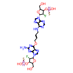 Nc1nc(OC/C=C/CNc2ncnc3c2ncn3[C@@H]2OC(CO)C(O[PH](O)=S)[C@H]2F)c2ncn(C3OC(CO)[C@@H](O[PH](O)=S)[C@H]3F)c2n1